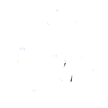 C[C@@H](O)[C@H]1C(=O)N2C(C(=O)O)=C(S[C@@H]3CN[C@H](CCn4ccnc4CO)C3)[C@H](C)[C@H]12.Cl